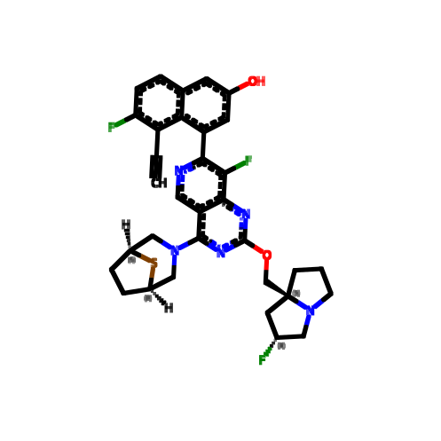 C#Cc1c(F)ccc2cc(O)cc(-c3ncc4c(N5C[C@H]6CC[C@@H](C5)S6)nc(OC[C@@]56CCCN5C[C@H](F)C6)nc4c3F)c12